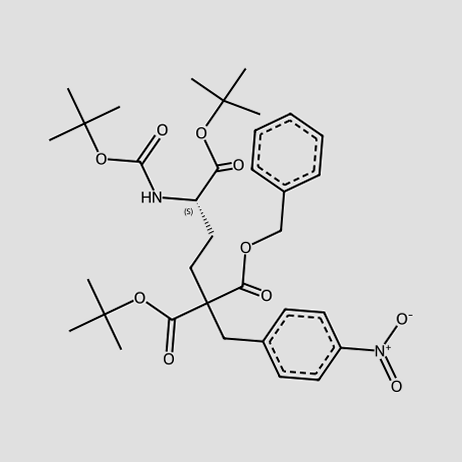 CC(C)(C)OC(=O)N[C@@H](CCC(Cc1ccc([N+](=O)[O-])cc1)(C(=O)OCc1ccccc1)C(=O)OC(C)(C)C)C(=O)OC(C)(C)C